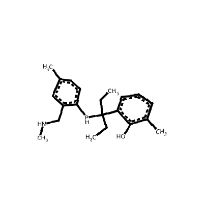 CCC(CC)(Pc1ccc(C)cc1CNC)c1cccc(C)c1O